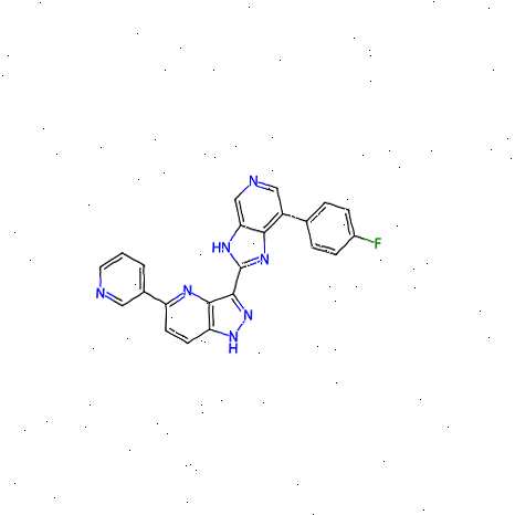 Fc1ccc(-c2cncc3[nH]c(-c4n[nH]c5ccc(-c6cccnc6)nc45)nc23)cc1